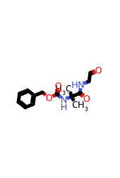 CC(C)(NC(=O)OCc1ccccc1)C(=O)NCC=O